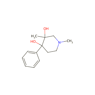 CN1CCC(O)(c2ccccc2)C(C)(O)C1